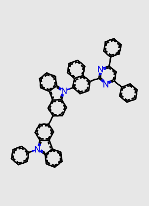 c1ccc(-c2cc(-c3ccccc3)nc(-c3ccc(-n4c5ccccc5c5cc(-c6ccc7c(c6)c6ccccc6n7-c6ccccc6)ccc54)c4ccccc34)n2)cc1